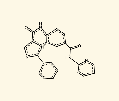 O=C(Nc1ccccn1)c1ccc2[nH]c(=O)c3cnc(-c4ccccc4)n3c2c1